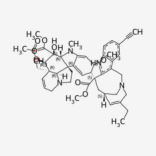 C#Cc1ccc2[nH]c3c(c2c1)CN1CC(CC)=C[C@@H](C1)C[C@]3(C(=O)OC)C1C=C2C(=CC1OC)N(C)[C@H]1[C@@](O)(C(=O)OC)[C@H](OC(C)=O)[C@]3(CC)C=CCN4CC[C@]21[C@@H]43